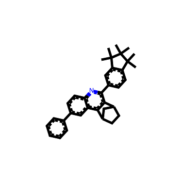 CC1(C)c2ccc(-c3nc4ccc(-c5ccccc5)cc4c4c3C3CCC4C3)cc2C(C)(C)C1(C)C